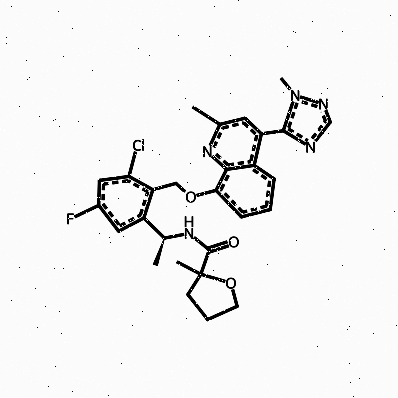 Cc1cc(-c2ncnn2C)c2cccc(OCc3c(Cl)cc(F)cc3[C@H](C)NC(=O)C3(C)CCCO3)c2n1